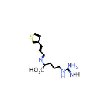 [H]/N=C(\N)NCCC[C@H](/N=C/C=C/c1ccsc1)C(=O)O